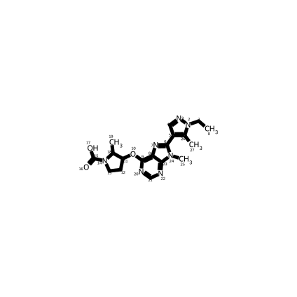 CCn1ncc(-c2nc3c(OC4CCN(C(=O)O)C4C)ncnc3n2C)c1C